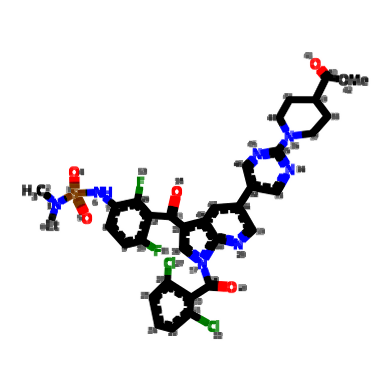 CCN(C)S(=O)(=O)Nc1ccc(F)c(C(=O)c2cn(C(=O)c3c(Cl)cccc3Cl)c3ncc(-c4cnc(N5CCC(C(=O)OC)CC5)nc4)cc23)c1F